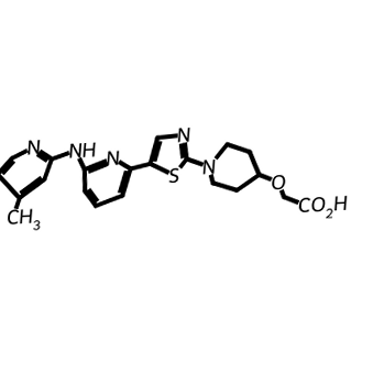 Cc1ccnc(Nc2cccc(-c3cnc(N4CCC(OCC(=O)O)CC4)s3)n2)c1